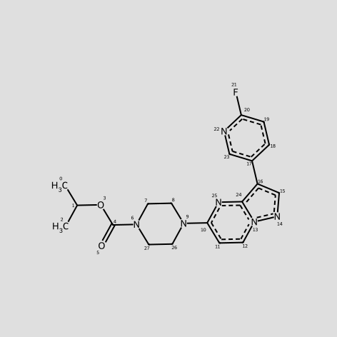 CC(C)OC(=O)N1CCN(c2ccn3ncc(-c4ccc(F)nc4)c3n2)CC1